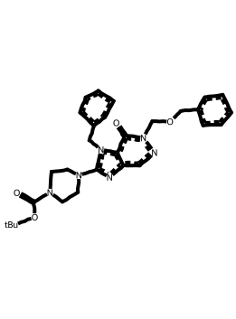 CC(C)(C)OC(=O)N1CCN(c2nc3cnn(COCc4ccccc4)c(=O)c3n2Cc2ccccc2)CC1